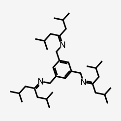 CC(C)CC(CC(C)C)=NCc1cc(CN=C(CC(C)C)CC(C)C)cc(CN=C(CC(C)C)CC(C)C)c1